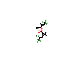 C#CC(OC(=O)C1C(C=C(Cl)C(F)(F)F)C1(C)C)C(C)=CC(F)(F)F